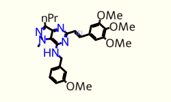 CCCc1nn(C)c2c(NCc3cccc(OC)c3)nc(/C=C/c3cc(OC)c(OC)c(OC)c3)nc12